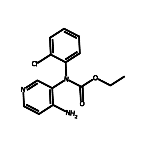 CCOC(=O)N(c1cnccc1N)c1ccccc1Cl